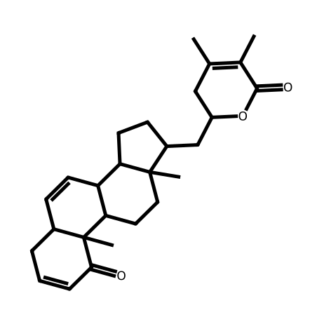 CC1=C(C)C(=O)OC(CC2CCC3C4C=CC5CC=CC(=O)C5(C)C4CCC23C)C1